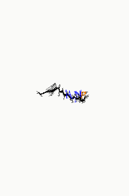 CCCCCCCCCCCCC1(N)C=CC=P1